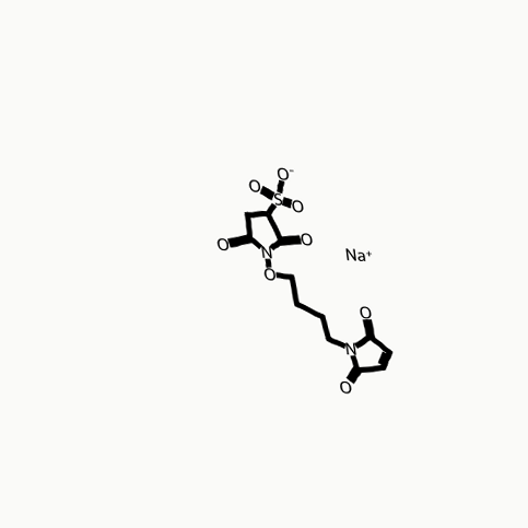 O=C1C=CC(=O)N1CCCCON1C(=O)CC(S(=O)(=O)[O-])C1=O.[Na+]